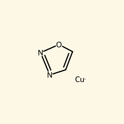 [Cu].c1conn1